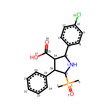 CP(C)(=O)C1NC(c2ccc(Cl)cc2)C(C(=O)O)C1c1ccccc1